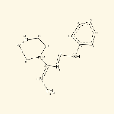 C/N=C(\N=C\Nc1ccccc1)N1CCOCC1